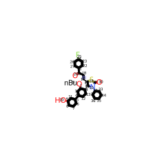 CCCCOc1cc(-c2cccc(O)c2)ccc1[C@@H]1[C@@H](/C=C/C(=O)c2ccc(F)cc2)SC(=O)N1c1ccccc1